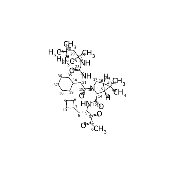 CC(=O)C(=O)[C@H](CC1CCC1)NC(=O)[C@@H]1[C@@H]2[C@H](CN1C(=O)[C@@H](NC(=O)NC(C)(C)CC(C)(C)C)C1CCCCC1)C2(C)C